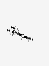 C.F.N=C=N